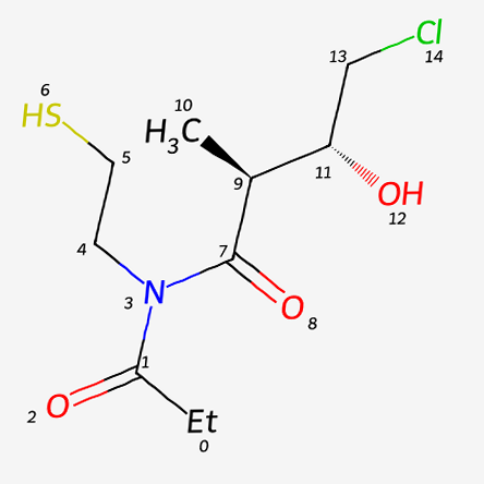 CCC(=O)N(CCS)C(=O)[C@@H](C)[C@@H](O)CCl